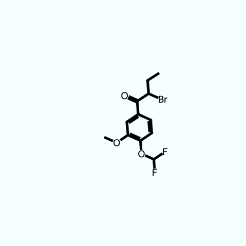 CCC(Br)C(=O)c1ccc(OC(F)F)c(OC)c1